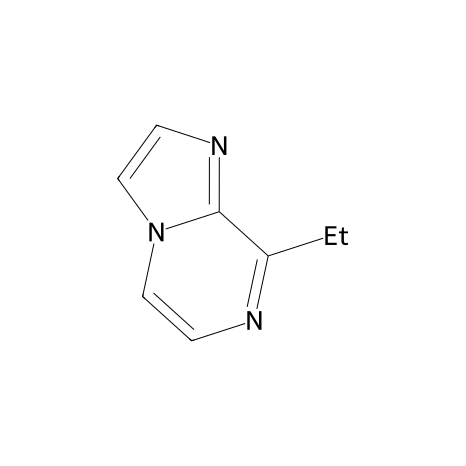 CCc1nccn2ccnc12